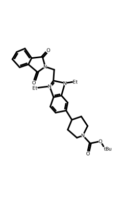 CCn1c(CN2C(=O)c3ccccc3C2=O)[n+](CC)c2ccc(C3CCN(C(=O)OC(C)(C)C)CC3)cc21